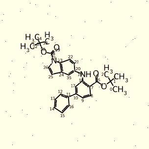 CC(C)(C)OC(=O)c1ccc(-c2ccccc2)cc1Nc1ccc2c(ccn2C(=O)OC(C)(C)C)c1